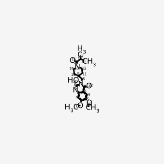 COc1cc2ncn(CC3(O)CCN(C(=O)C(C)C)CC3)c(=O)c2cc1OC